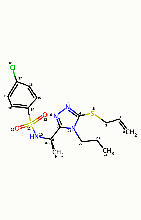 C=CCSc1nnc([C@@H](C)NS(=O)(=O)c2ccc(Cl)cc2)n1CCC